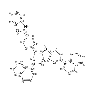 c1ccc2c(-c3ccc4oc5c(-c6ccc(-c7nc8ccccc8o7)cc6)cc(-c6cccc7ccccc67)cc5c4c3)cccc2c1